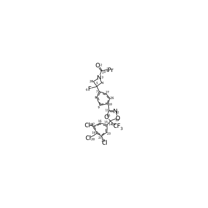 CC(C)C(=O)N1CC(F)(c2ccc(C3=NOC(c4cc(Cl)c(Cl)c(Cl)c4)(C(F)(F)F)O3)cc2)C1